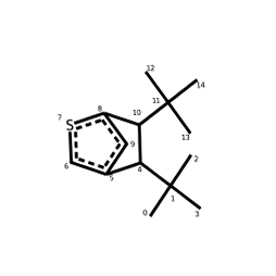 CC(C)(C)C1c2csc(c2)C1C(C)(C)C